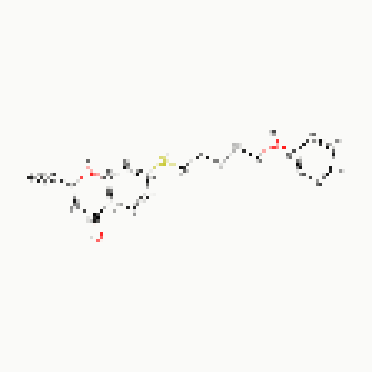 O=C(O)c1cc(=O)c2ccc(SCCCCCOc3ccccc3)cc2o1